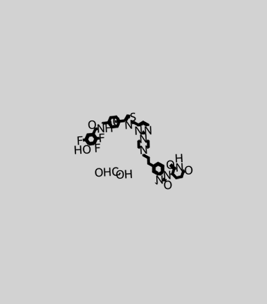 Cn1c(=O)n([C@@H]2CCC(=O)NC2=O)c2ccc(CCCN3CCN(c4nccc(-c5nc(C67CCC(CNC(=O)c8cc(F)c(O)c(F)c8F)(CC6)CC7)cs5)n4)CC3)cc21.O=CO